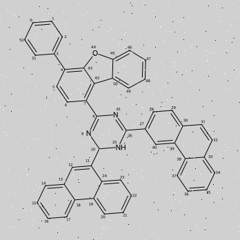 c1ccc(-c2ccc(C3=NC(c4cc5ccccc5c5ccccc45)NC(c4ccc5ccc6ccccc6c5c4)=N3)c3c2oc2ccccc23)cc1